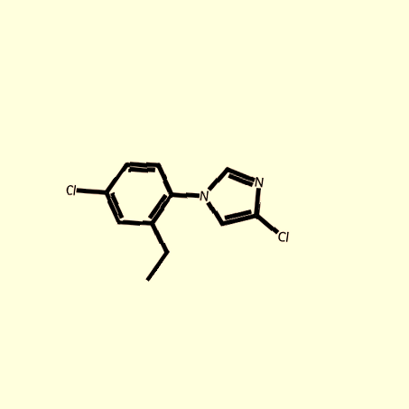 CCc1cc(Cl)ccc1-n1cnc(Cl)c1